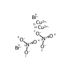 O=[N+]([O-])[O-].O=[N+]([O-])[O-].[Br-].[Br-].[Cu+2].[Cu+2]